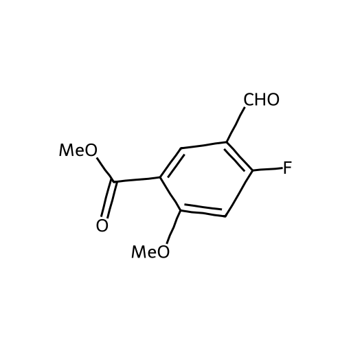 COC(=O)c1cc(C=O)c(F)cc1OC